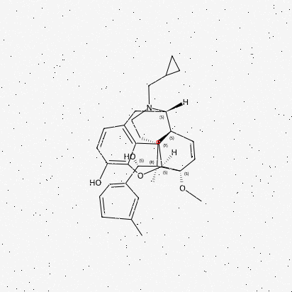 CO[C@@]12C=C[C@]3(C[C@]1(C)[C@@H](O)c1cccc(C)c1)[C@@H]1Cc4ccc(O)c5c4[C@]3(CCN1CC1CC1)[C@@H]2O5